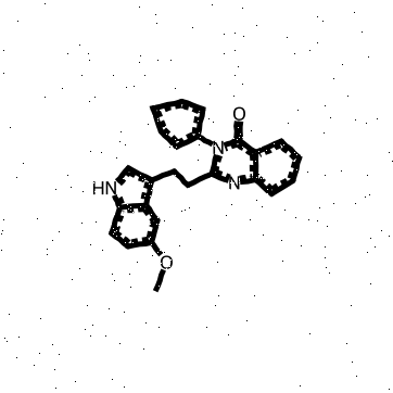 COc1ccc2[nH]cc(CCc3nc4ccccc4c(=O)n3-c3ccccc3)c2c1